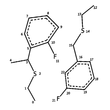 CCSC(C)c1ccccc1F.CCSCc1cccc(F)c1